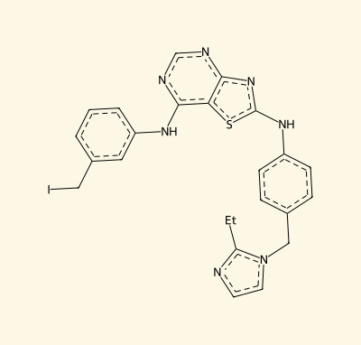 CCc1nccn1Cc1ccc(Nc2nc3ncnc(Nc4cccc(CI)c4)c3s2)cc1